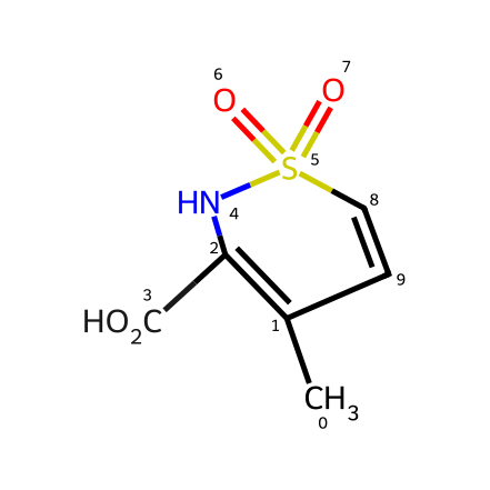 CC1=C(C(=O)O)NS(=O)(=O)C=C1